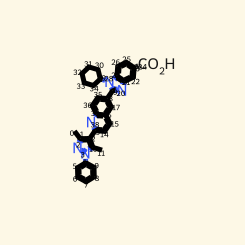 Cc1nn(-c2ccccc2)c(C)c1-c1ccc2cc(-c3nc4cc(C(=O)O)ccc4n3C3CCCCC3)ccc2n1